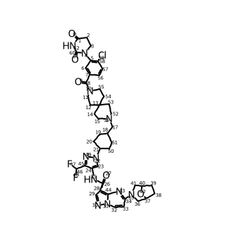 O=C1CCN(c2cc(C(=O)N3CCC4(CCN(CC5CCC(n6cc(NC(=O)c7cnn8ccc(N9CC%10CCC(C9)O%10)nc78)c(C(F)F)n6)CC5)CC4)CC3)ccc2Cl)C(=O)N1